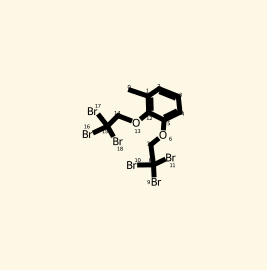 Cc1cccc(OCC(Br)(Br)Br)c1OCC(Br)(Br)Br